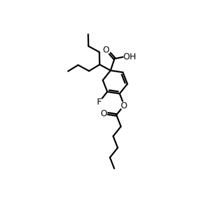 CCCCCC(=O)OC1=C(F)CC(C(=O)O)(C(CCC)CCC)C=C1